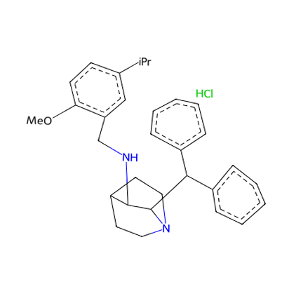 COc1ccc(C(C)C)cc1CNC1C2CCN(CC2)C1C(c1ccccc1)c1ccccc1.Cl